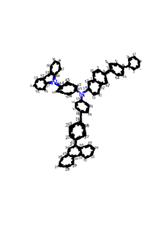 c1ccc(-c2ccc(-c3ccc4cc(N(c5ccc(-c6ccc(-c7cc8ccccc8c8ccccc78)cc6)cc5)c5ccc(-n6c7ccccc7c7ccccc76)cc5)ccc4c3)cc2)cc1